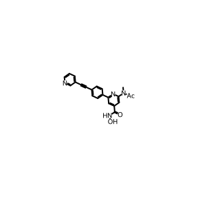 CC(=O)N(C)c1cc(C(=O)NO)cc(-c2ccc(C#Cc3cccnc3)cc2)n1